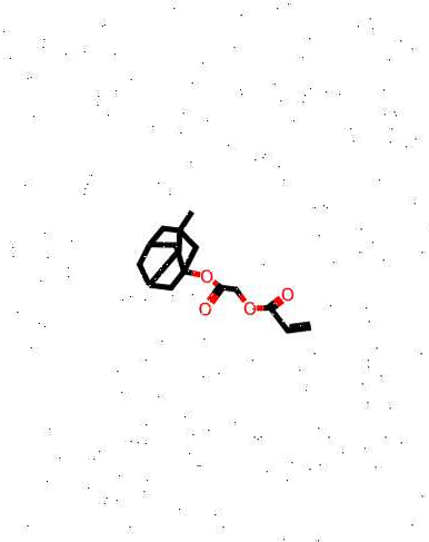 C=CC(=O)OCC(=O)OC12CC3CC(CC(C)(C3)C1)C2